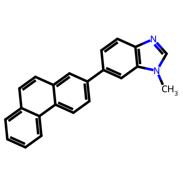 Cn1cnc2ccc(-c3ccc4c(ccc5ccccc54)c3)cc21